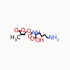 CC1=CC(OC(=O)NC(CCCCN)C(=O)O)OC1=O